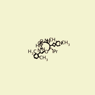 Cc1cccc(C)c1-c1cc2nc(n1)NS(=O)(=O)c1cc(n(C)n1)C(C1CC3(CCN(C)CC3)C1)[C@H](CC(C)C)CO2